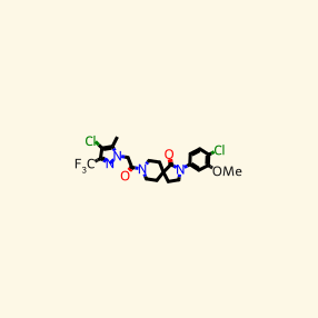 COc1cc(N2CCC3(CCN(C(=O)Cn4nc(C(F)(F)F)c(Cl)c4C)CC3)C2=O)ccc1Cl